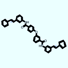 O=C(Nc1cccc(/C=C/c2ccccc2)c1)c1ccc(Oc2cccc(C(=O)Nc3cccc(/C=C/c4ccccc4)c3)c2)cc1